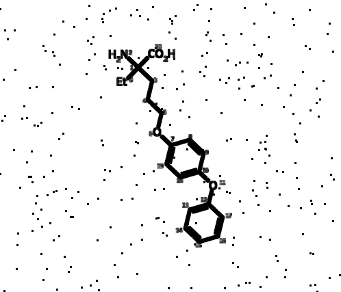 CCC(N)(CCCOc1ccc(Oc2ccccc2)cc1)C(=O)O